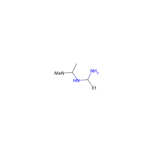 CCC(N)NC(C)NC